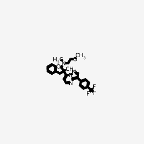 COCCN(C)C(=O)C(C)(Cc1ccccc1)c1ccnc2c(-c3ccc(C(F)(F)F)cc3)cnn12